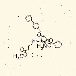 COC(=O)CCC/C=C\C[C@@H]1[C@@H](N)[C@H](OC(=O)c2ccccc2)C[C@@H]1OCc1ccc(-c2ccccc2)cc1